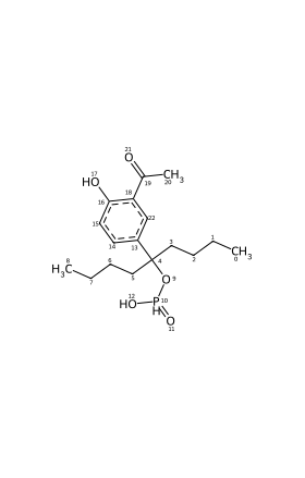 CCCCC(CCCC)(O[PH](=O)O)c1ccc(O)c(C(C)=O)c1